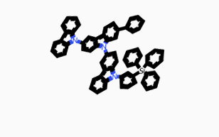 c1ccc(-c2ccc3c4cc(-n5c6ccccc6c6ccccc65)ccc4n(-c4ccc5c(c4)c4ccccc4n5-c4cccc([Si](c5ccccc5)(c5ccccc5)c5ccccc5)c4)c3c2)cc1